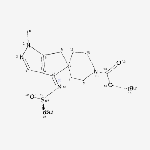 Cn1ncc2c1CC1(CCN(C(=O)OC(C)(C)C)CC1)/C2=N/[S@+]([O-])C(C)(C)C